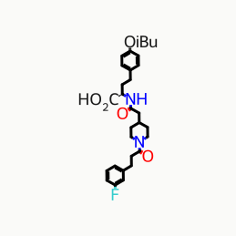 CC(C)COc1ccc(CC[C@H](NC(=O)CC2CCN(C(=O)CCc3cccc(F)c3)CC2)C(=O)O)cc1